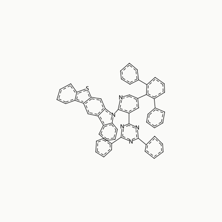 c1ccc(-c2nc(-c3ccccc3)nc(-c3cc(-c4c(-c5ccccc5)cccc4-c4ccccc4)cnc3-n3c4ccccc4c4cc5c(cc43)sc3ccccc35)n2)cc1